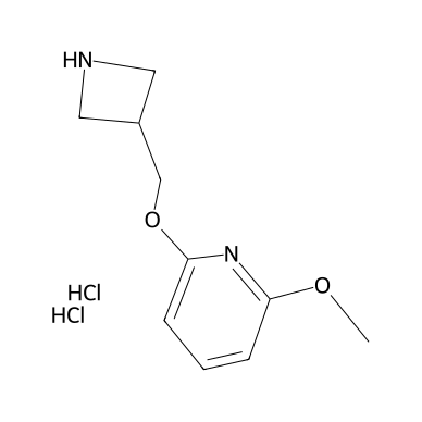 COc1cccc(OCC2CNC2)n1.Cl.Cl